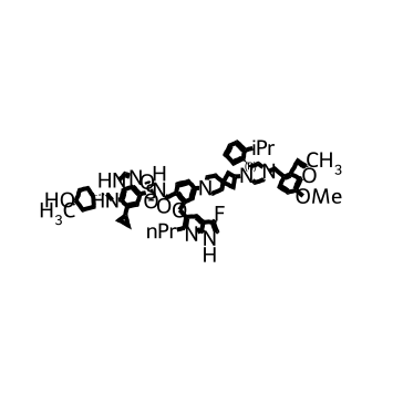 CCCc1nc2[nH]cc(F)c2cc1Oc1cc(N2CCC3(CC2)CC(N2CCN(Cc4ccc(OC)c5oc(C)cc45)C[C@H]2c2ccccc2C(C)C)C3)ccc1C(=O)NS(=O)(=O)c1cc(C2CC2)c(NC[C@H]2CC[C@](C)(O)CC2)c2[nH]cnc12